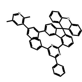 Cc1cnc(C)c(-c2cccc(-c3ccc4c(c3)-c3c(-c5nc(-c6ccccc6)cc(-c6ccccc6)n5)cccc3C43c4ccccc4Oc4ccccc43)c2)c1